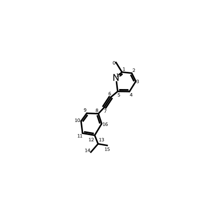 Cc1cccc(C#Cc2cccc(C(C)C)c2)n1